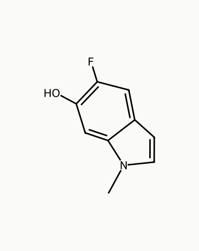 Cn1ccc2cc(F)c(O)cc21